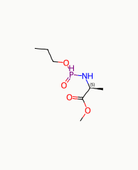 CCCO[PH](=O)N[C@@H](C)C(=O)OC